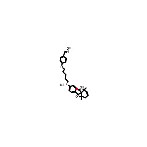 CC1(C)C=CCC(C)(C)C1(C(N)=O)C(=O)c1ccc(OCCCCCOc2ccc(C=NN)cc2)cc1.Cl